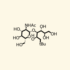 CC(=O)N[C@H]1[C@H](O[C@@H]([C@H](O)[C@H](O)CO)[C@H](O)CC(C)(C)C)O[C@H](CO)[C@@H](O)[C@@H]1O